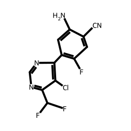 N#Cc1cc(F)c(-c2ncnc(C(F)F)c2Cl)cc1N